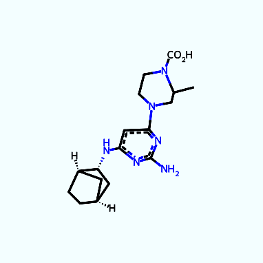 CC1CN(c2cc(N[C@@H]3C[C@H]4CC[C@@H]3C4)nc(N)n2)CCN1C(=O)O